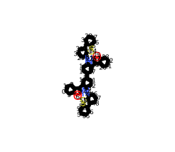 c1ccc2c(c1)oc1c2c2cc(-c3ccc4c(c3)c3c5ccccc5oc3n4-c3cccc4c3sc3ccccc34)ccc2n1-c1cccc2c1sc1ccccc12